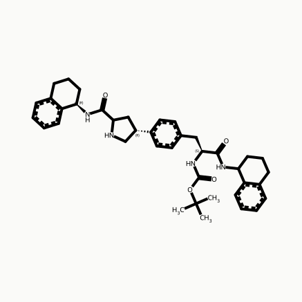 CC(C)(C)OC(=O)N[C@@H](Cc1ccc([C@@H]2CNC(C(=O)N[C@@H]3CCCc4ccccc43)C2)cc1)C(=O)NC1CCCc2ccccc21